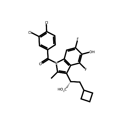 Cc1c([C@H](CC2CCC2)C(=O)O)c2c(F)c(O)c(F)cc2n1C(=O)c1ccc(Cl)c(Cl)c1